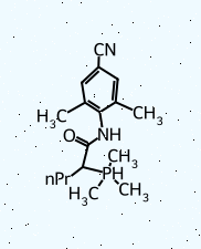 CCCC(C(=O)Nc1c(C)cc(C#N)cc1C)[PH](C)(C)C